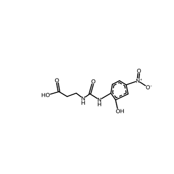 O=C(O)CCNC(=O)Nc1ccc([N+](=O)[O-])cc1O